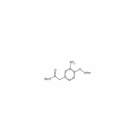 CCCCCCOc1ccc(CC(=O)OC)cc1[N+](=O)[O-]